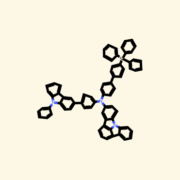 c1ccc(-n2c3ccccc3c3cc(-c4ccc(N(c5ccc(-c6ccc([Si](c7ccccc7)(c7ccccc7)c7ccccc7)cc6)cc5)c5ccc6c(c5)c5cccc7c8ccccc8n6c75)cc4)ccc32)cc1